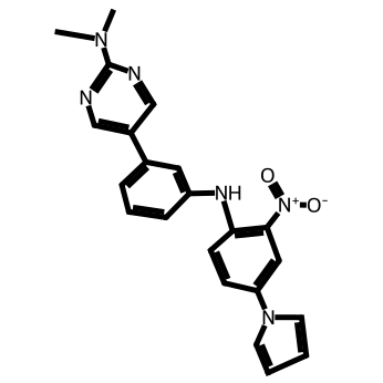 CN(C)c1ncc(-c2cccc(Nc3ccc(-n4cccc4)cc3[N+](=O)[O-])c2)cn1